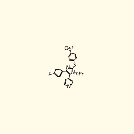 CCCn1c(Sc2ccc([S+](C)[O-])cc2)nc(-c2ccc(F)cc2)c1-c1ccncc1